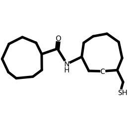 O=C(NC1CCCCCC(CS)CC1)C1CCCCCCCC1